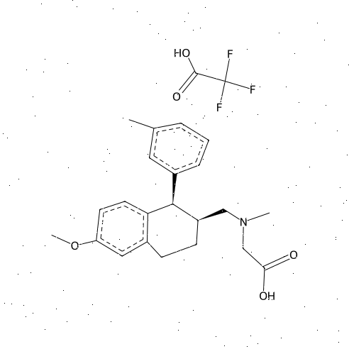 COc1ccc2c(c1)CC[C@H](CN(C)CC(=O)O)[C@@H]2c1cccc(C)c1.O=C(O)C(F)(F)F